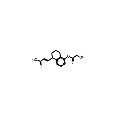 O=C(O)C=CC1CCCc2c(OC(=O)CO)cccc21